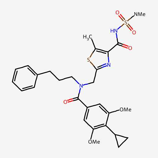 CNS(=O)(=O)NC(=O)c1nc(CN(CCCc2ccccc2)C(=O)c2cc(OC)c(C3CC3)c(OC)c2)sc1C